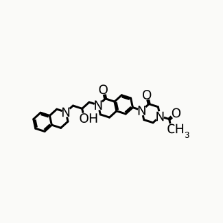 CC(=O)N1CCN(c2ccc3c(c2)CCN(CC(O)CN2CCc4ccccc4C2)C3=O)C(=O)C1